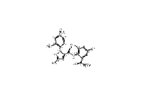 CNC(=O)c1cc(Cl)cc(C)c1NC(=O)c1cc(Br)nn1-c1ccc([N+](=O)[O-])cc1C#N